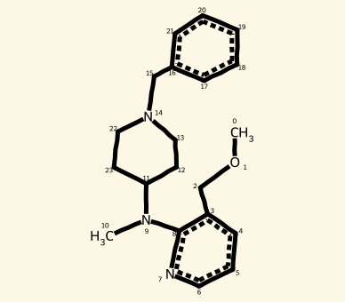 COCc1cccnc1N(C)C1CCN(Cc2ccccc2)CC1